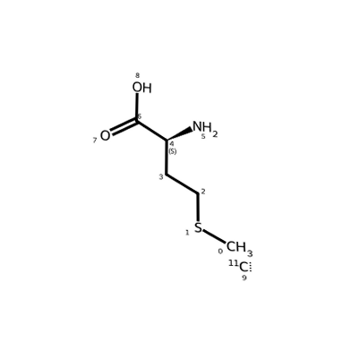 CSCC[C@H](N)C(=O)O.[11C]